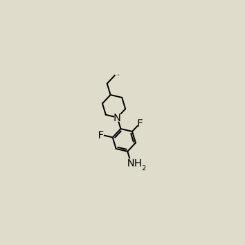 [CH2]CC1CCN(c2c(F)cc(N)cc2F)CC1